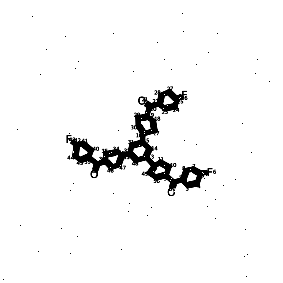 O=C(c1ccc(F)cc1)c1ccc(-c2cc(-c3ccc(C(=O)c4ccc(F)cc4)cc3)cc(-c3ccc(C(=O)c4ccc(F)cc4)cc3)c2)cc1